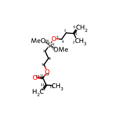 C=C(C)CCO[Si](CCCOC(=O)C(=C)C)(OC)OC